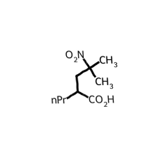 CCCC(CC(C)(C)[N+](=O)[O-])C(=O)O